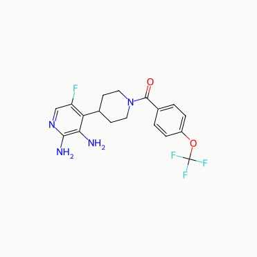 Nc1ncc(F)c(C2CCN(C(=O)c3ccc(OC(F)(F)F)cc3)CC2)c1N